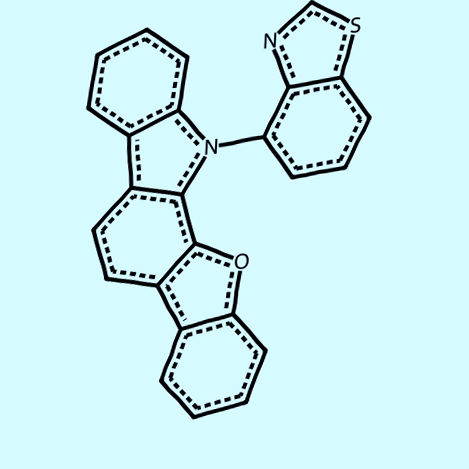 c1ccc2c(c1)oc1c2ccc2c3ccccc3n(-c3cccc4scnc34)c21